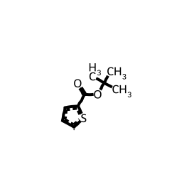 CC(C)(C)OC(=O)c1cc[c]s1